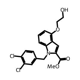 COC(=O)c1cc2c(OCCO)cccc2n1Cc1ccc(Cl)c(Cl)c1